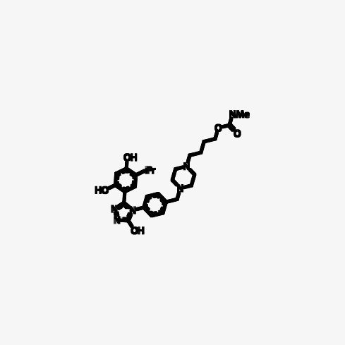 CNC(=O)OCCCCN1CCN(Cc2ccc(-n3c(O)nnc3-c3cc(C(C)C)c(O)cc3O)cc2)CC1